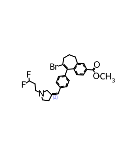 COC(=O)c1ccc2c(c1)CCCC(Br)=C2c1ccc(/C=C2/CCN(CCC(F)F)C2)cc1